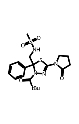 CC(C)(C)C(=O)N1N=C(N2CCCC2=O)SC1(CNS(C)(=O)=O)c1ccccc1